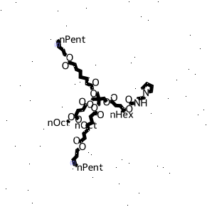 CCCCC/C=C\CCOC(=O)CCCCCCC(=O)OCC(COC(=O)CCCCCCC(=O)OCC/C=C\CCCCC)(COC(=O)CCC(CCCCCC)OC(=O)NCCN1CCCC1)COC(=O)CCC(OCCCCCCCC)OCCCCCCCC